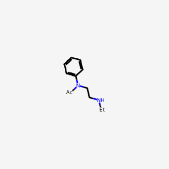 CCNCCN(C(C)=O)c1ccccc1